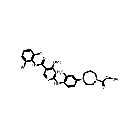 COc1nc(Nc2ccc(N3CCCN(C(=O)OC(C)(C)C)CC3)cc2C)ncc1C(=O)Nc1c(Cl)cccc1Br